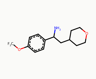 NC(CC1CCOCC1)c1ccc(OC(F)(F)F)cc1